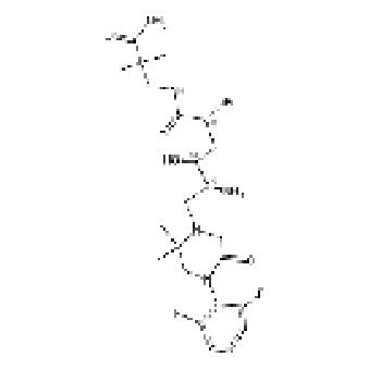 CC(C)[C@H](C[C@H](O)[C@@H](N)CN1CC(=O)N(c2c(F)cccc2F)CC1(C)C)C(=O)NCC(C)(C)C(N)=O